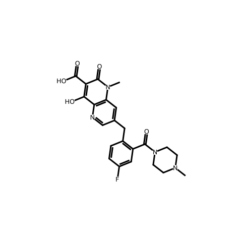 CN1CCN(C(=O)c2cc(F)ccc2Cc2cnc3c(O)c(C(=O)O)c(=O)n(C)c3c2)CC1